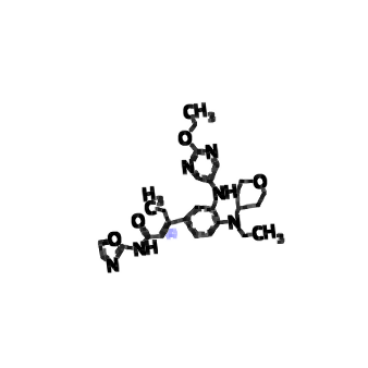 CCOc1ncc(Nc2cc(/C(=C/C(=O)Nc3ncco3)CC)ccc2N(CC)C2CCOCC2)cn1